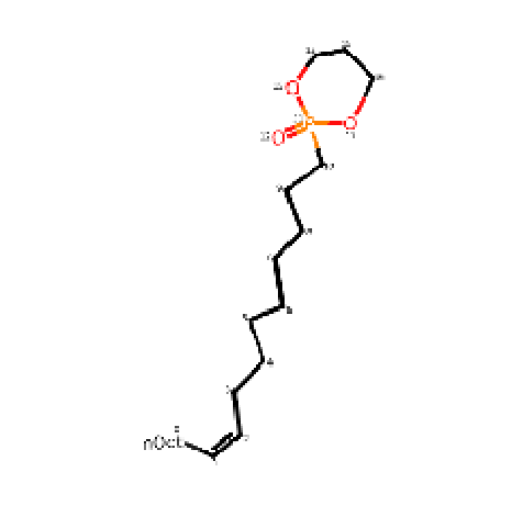 CCCCCCCC/C=C\CCCCCCCCP1(=O)OCCCO1